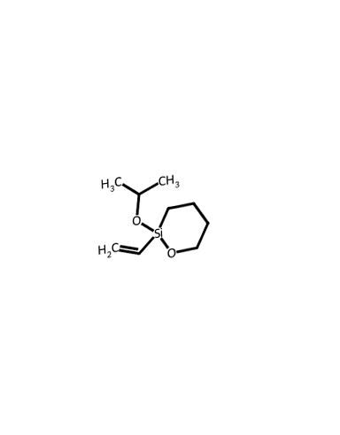 C=C[Si]1(OC(C)C)CCCCO1